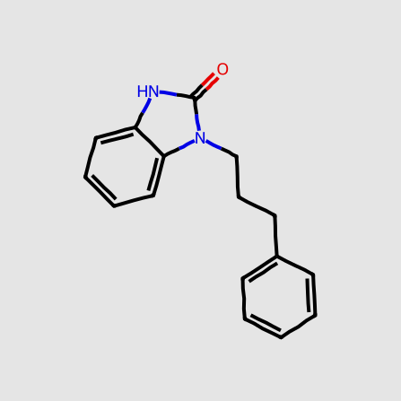 O=c1[nH]c2ccccc2n1CCCc1ccccc1